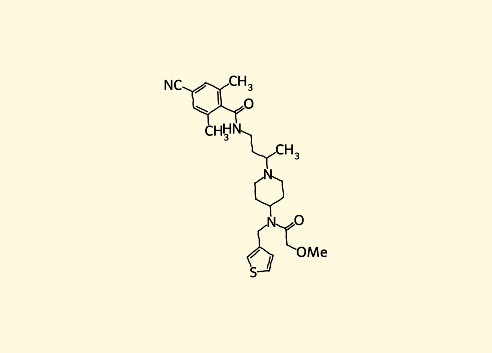 COCC(=O)N(Cc1ccsc1)C1CCN(C(C)CCNC(=O)c2c(C)cc(C#N)cc2C)CC1